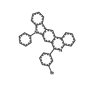 Brc1cccc(-c2nc3ccccc3c3cc4c5ccccc5n(-c5ccccc5)c4cc23)c1